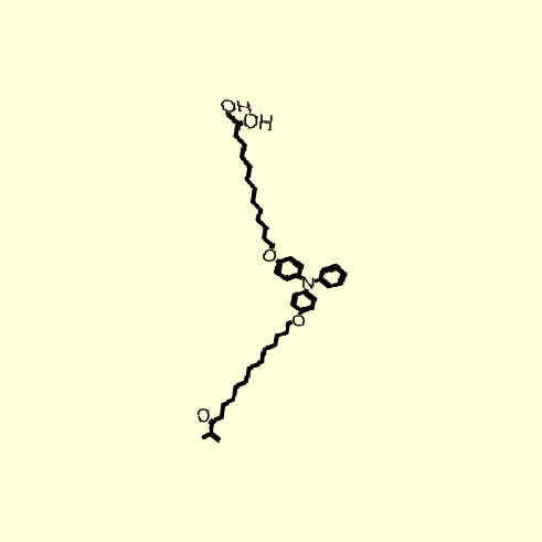 C=C(C)C(=O)CCCCCCCCCCCCOc1ccc(N(c2ccccc2)c2ccc(OCCCCCCCCCCCCC(O)CO)cc2)cc1